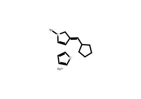 [2H][C-]1C=CC(=CC2CCCC2)C1.[Fe+2].c1cc[cH-]c1